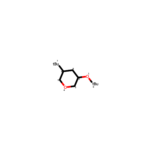 CC(C)(C)OC1COCC(C(C)(C)C)C1